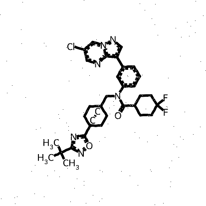 CC(C)(C)c1noc(C23CCC(CN(C(=O)C4CCC(F)(F)CC4)c4cccc(-c5cnn6cc(Cl)cnc56)c4)(CC2)CC3)n1